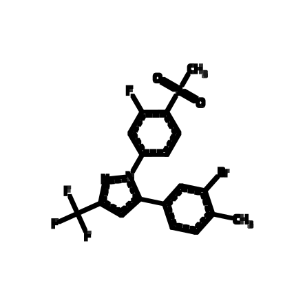 Cc1ccc(-c2cc(C(F)(F)F)nn2-c2ccc(S(C)(=O)=O)c(F)c2)cc1Br